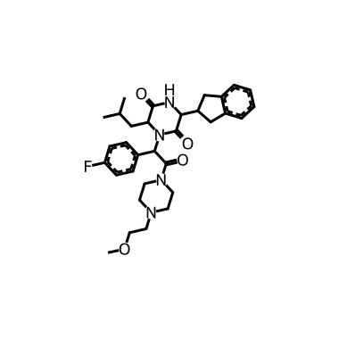 COCCN1CCN(C(=O)C(c2ccc(F)cc2)N2C(=O)C(C3Cc4ccccc4C3)NC(=O)C2CC(C)C)CC1